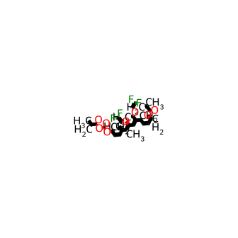 C=C(/C=C\C(=C)/C(C)=C(/C=C(/C(=C)/C=C\C(=C)OC(=O)C(=C)C)C(C)OC=C(F)F)OC=C(F)F)OC(=O)OC(=O)C(=C)C